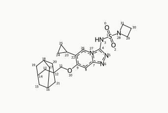 O=S(=O)(Nc1nnc2cc(OCC34CC5CC(CC(C5)C3)C4)c(C3CC3)cn12)N1CCC1